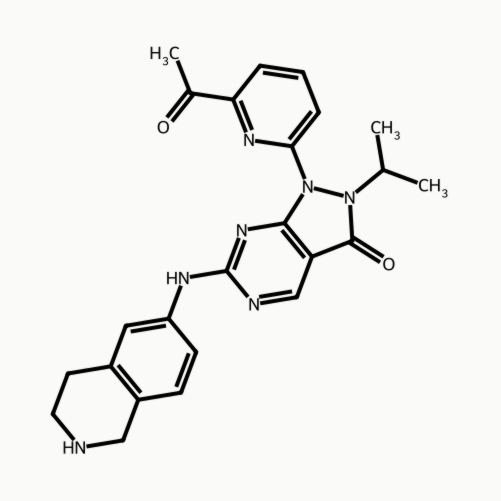 CC(=O)c1cccc(-n2c3nc(Nc4ccc5c(c4)CCNC5)ncc3c(=O)n2C(C)C)n1